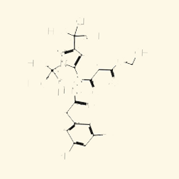 CCOC(=O)CC(=O)N(NC(=O)Cc1cc(F)cc(F)c1)c1cc(C(C)(C)C)nn1C(C)(C)C